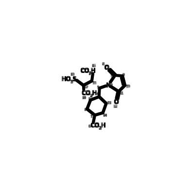 O=C(O)C1CCC(CN2C(=O)C=CC2=O)CC1.O=C(O)CC(C(=O)O)S(=O)(=O)O